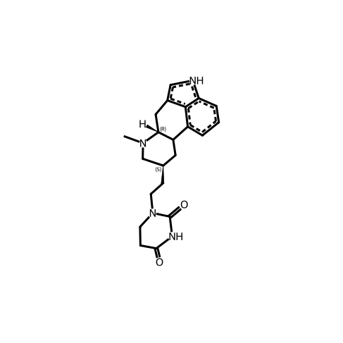 CN1C[C@H](CCN2CCC(=O)NC2=O)CC2c3cccc4[nH]cc(c34)C[C@H]21